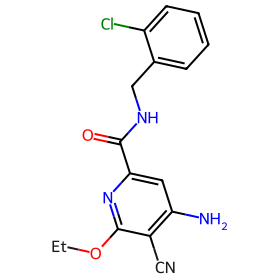 CCOc1nc(C(=O)NCc2ccccc2Cl)cc(N)c1C#N